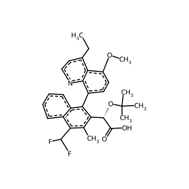 CCc1ccnc2c(-c3c([C@H](OC(C)(C)C)C(=O)O)c(C)c(C(F)F)c4ccccc34)ccc(OC)c12